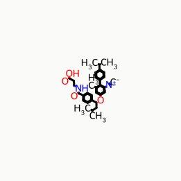 [C-]#[N+]c1cc(OC(CC(C)C)c2ccc(C(=O)NCCC(=O)O)cc2)cc(C)c1-c1ccc(C(C)C)cc1